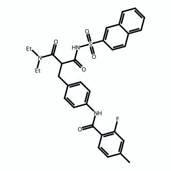 CCN(CC)C(=O)C(Cc1ccc(NC(=O)c2ccc(C)cc2F)cc1)C(=O)NS(=O)(=O)c1ccc2ccccc2c1